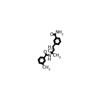 Cc1cccc(C(=O)NC(C)(C)CCc2cccc(C(N)=O)c2)c1